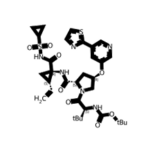 C=C[C@@H]1C[C@]1(NC(=O)[C@@H]1C[C@@H](Oc2cncc(-c3nccs3)c2)CN1C(=O)[C@@H](NC(=O)OC(C)(C)C)C(C)(C)C)C(=O)NS(=O)(=O)C1CC1